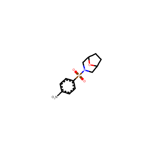 O=[N+]([O-])c1ccc(S(=O)(=O)N2CC3CCC(C2)O3)cc1